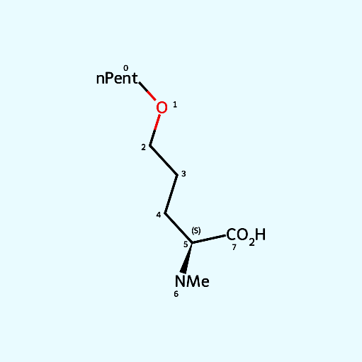 CCCCCOCCC[C@H](NC)C(=O)O